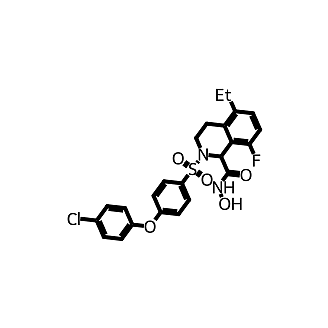 CCc1ccc(F)c2c1CCN(S(=O)(=O)c1ccc(Oc3ccc(Cl)cc3)cc1)C2C(=O)NO